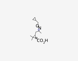 C/C(CC1[C@@H](C(=O)O)C1(C)C)=N/OCC1CC1